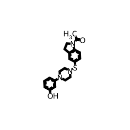 CC(=O)N1CCc2cc(SN3CCN(c4cccc(O)c4)CC3)ccc21